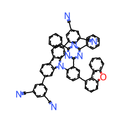 N#Cc1cc(C#N)cc(-c2ccc3c4ccc(-c5cc(C#N)cc(C#N)c5)cc4n(-c4ccc(-c5cccc6oc7ccccc7c56)cc4-c4nc(-c5ccccc5)nc(-c5ccccc5)n4)c3c2)c1